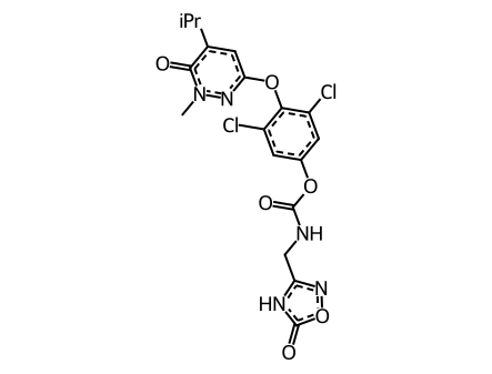 CC(C)c1cc(Oc2c(Cl)cc(OC(=O)NCc3noc(=O)[nH]3)cc2Cl)nn(C)c1=O